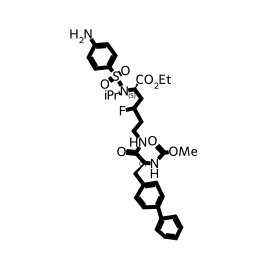 CCOC(=O)[C@H](CC(F)CCNC(=O)[C@H](Cc1ccc(-c2ccccc2)cc1)NC(=O)OC)N(C(C)C)S(=O)(=O)c1ccc(N)cc1